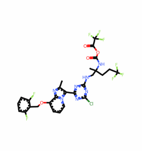 Cc1nc2c(OCc3c(F)cccc3F)cccn2c1-c1nc(Cl)nc(NCC(C)(CCC(F)(F)F)NC(=O)OC(=O)C(F)(F)F)n1